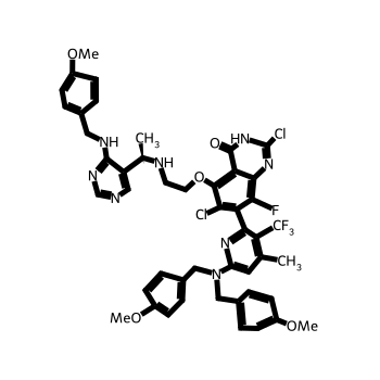 COc1ccc(CNc2ncncc2[C@@H](C)NCCOc2c(Cl)c(-c3nc(N(Cc4ccc(OC)cc4)Cc4ccc(OC)cc4)cc(C)c3C(F)(F)F)c(F)c3nc(Cl)[nH]c(=O)c23)cc1